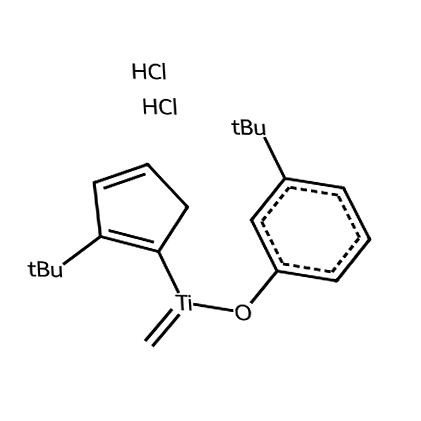 Cl.Cl.[CH2]=[Ti]([O]c1cccc(C(C)(C)C)c1)[C]1=C(C(C)(C)C)C=CC1